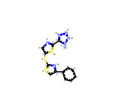 c1ccc(-c2csc(Sc3cnc(-c4nnn[nH]4)s3)n2)cc1